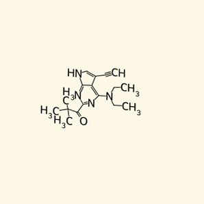 C#Cc1c[nH]c2nc(C(=O)C(C)(C)C)nc(N(CC)CC)c12